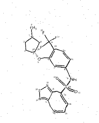 CN1CC[C@@H](Oc2cc(NS(=O)(=O)c3cccc4nsnc34)ccc2C(F)(F)F)C1